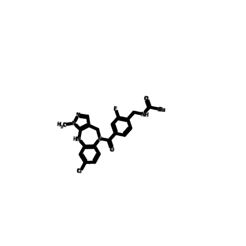 Cn1ncc2c1Nc1cc(Cl)ccc1N(C(=O)c1ccc(CNC(=O)C(C)(C)C)c(F)c1)C2